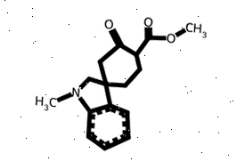 COC(=O)C1CCC2(CC1=O)CN(C)c1ccccc12